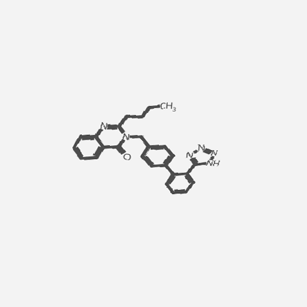 CCCCc1nc2ccccc2c(=O)n1Cc1ccc(-c2ccccc2-c2nnn[nH]2)cc1